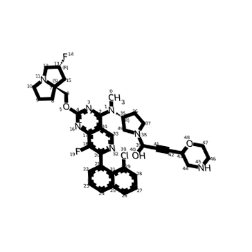 CN(c1nc(OC[C@@]23CCCN2C[C@H](F)C3)nc2c(F)c(-c3cccc4cccc(Cl)c34)ncc12)[C@@H]1CCN(C(O)C#CC2CNCCO2)C1